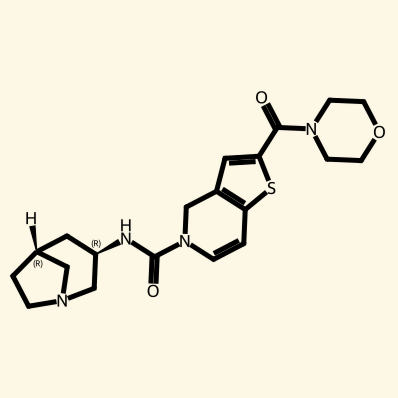 O=C(N[C@@H]1C[C@H]2CCN(C2)C1)N1C=Cc2sc(C(=O)N3CCOCC3)cc2C1